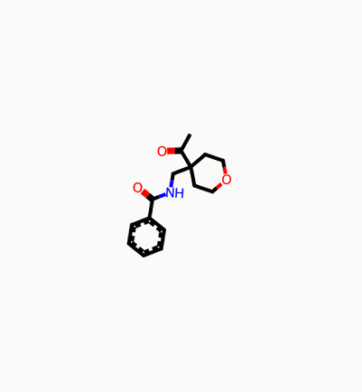 CC(=O)C1(CNC(=O)c2ccccc2)CCOCC1